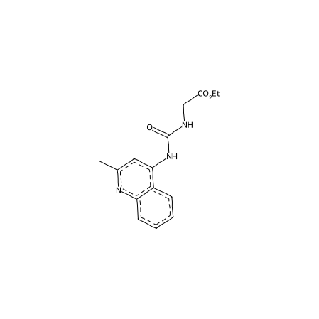 CCOC(=O)CNC(=O)Nc1cc(C)nc2ccccc12